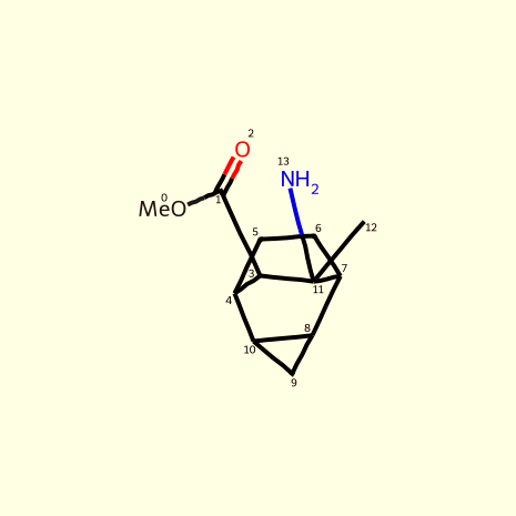 COC(=O)C1C2CCC(C3CC32)C1(C)N